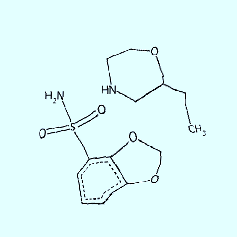 CCC1CNCCO1.NS(=O)(=O)c1cccc2c1OCO2